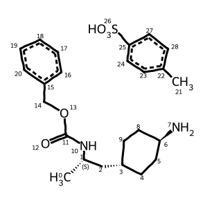 C[C@@H](C[C@H]1CC[C@H](N)CC1)NC(=O)OCc1ccccc1.Cc1ccc(S(=O)(=O)O)cc1